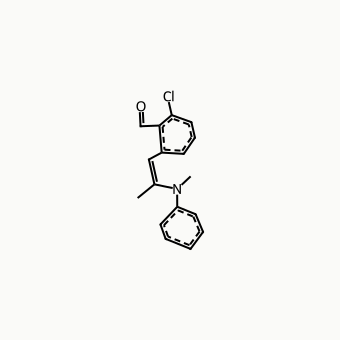 C/C(=C/c1cccc(Cl)c1C=O)N(C)c1ccccc1